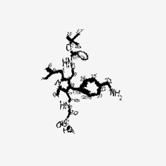 Cc1nc(CC(C)C)c(CNC(=O)OC(C)(C)C)c(-c2ccc(CN)cc2)c1CNC[SH](=O)=O